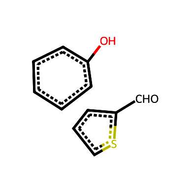 O=Cc1cccs1.Oc1ccccc1